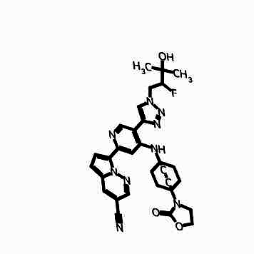 CC(C)(O)C(F)Cn1cc(-c2cnc(-c3ccc4cc(C#N)cnn34)cc2NC23CCC(N4CCOC4=O)(CC2)CC3)nn1